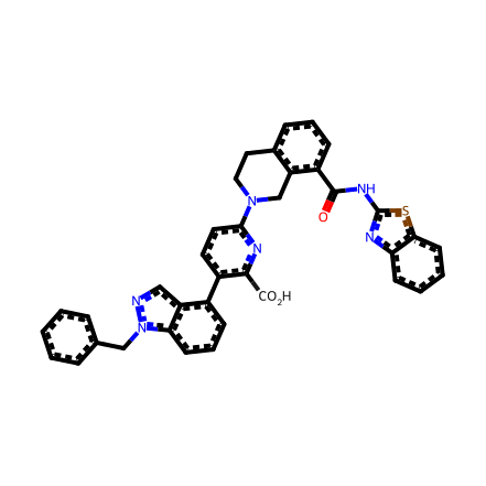 O=C(Nc1nc2ccccc2s1)c1cccc2c1CN(c1ccc(-c3cccc4c3cnn4Cc3ccccc3)c(C(=O)O)n1)CC2